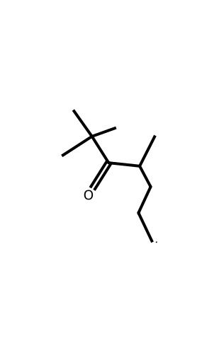 [CH2]CCC(C)C(=O)C(C)(C)C